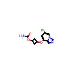 NC(=O)OC1CC(Oc2cc(Br)cn3cncc23)C1